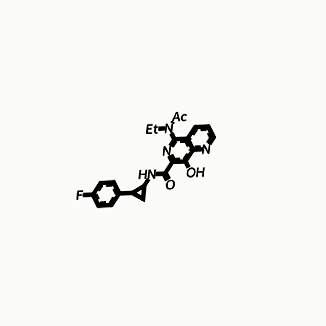 CCN(C(C)=O)c1nc(C(=O)NC2CC2c2ccc(F)cc2)c(O)c2ncccc12